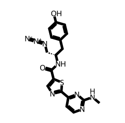 CNc1nccc(-c2ncc(C(=O)N[C@H](CN=[N+]=[N-])Cc3ccc(O)cc3)s2)n1